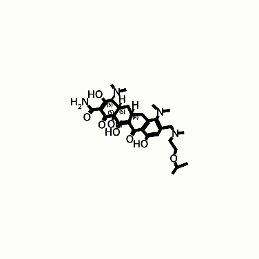 CC(C)OCCN(C)Cc1cc(O)c2c(c1N(C)C)C[C@H]1C[C@H]3[C@H](N(C)C)C(O)=C(C(N)=O)C(=O)[C@@]3(O)C(O)=C1C2=O